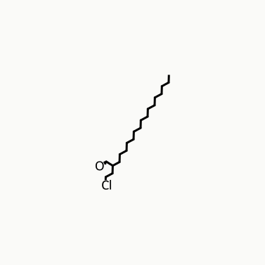 CCCCCCCCCCCCCCCCC(C=O)CCCl